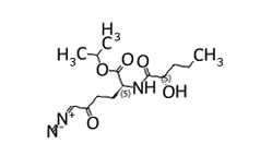 CCC[C@H](O)C(=O)N[C@@H](CCC(=O)C=[N+]=[N-])C(=O)OC(C)C